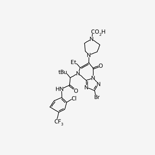 CCc1c(N2CCN(C(=O)O)CC2)c(=O)n2nc(Br)nc2n1C(C(=O)Nc1ccc(C(F)(F)F)cc1Cl)C(C)(C)C